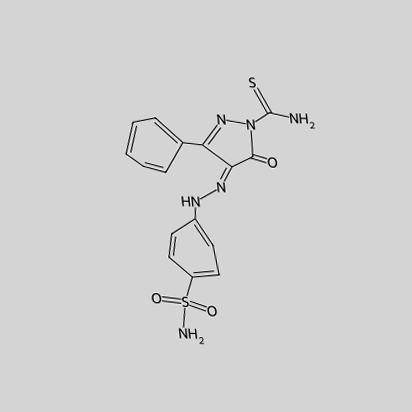 NC(=S)N1N=C(c2ccccc2)/C(=N\Nc2ccc(S(N)(=O)=O)cc2)C1=O